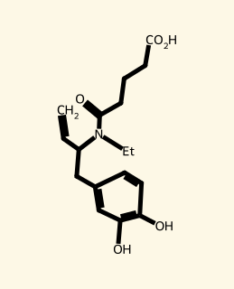 C=CC(Cc1ccc(O)c(O)c1)N(CC)C(=O)CCCC(=O)O